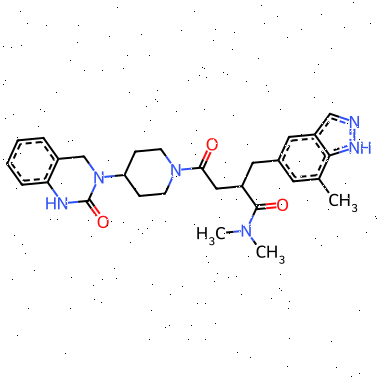 Cc1cc(CC(CC(=O)N2CCC(N3Cc4ccccc4NC3=O)CC2)C(=O)N(C)C)cc2cn[nH]c12